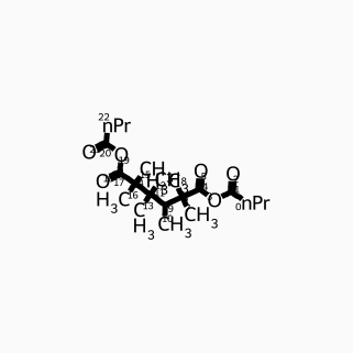 CCCC(=O)OC(=O)C(C)(C)C(C)C(C)(C)C(C)(C)C(=O)OC(=O)CCC